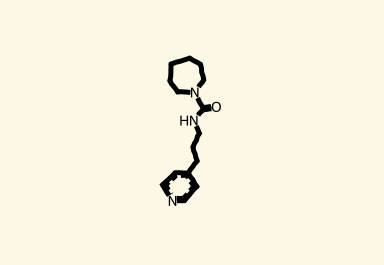 O=C(NCCCc1ccncc1)N1CCCCCC1